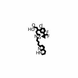 COc1ccc(C2(C(F)F)CC2)cc1C(CC(=O)O)Cc1csc(CCCc2ccc3c(n2)NCCC3)n1